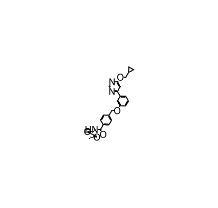 CS(=O)(=O)NC(=O)c1ccc(COc2cccc(-c3cc(OCC4CC4)ncn3)c2)cc1